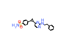 NS(=O)(=O)c1ccc(C2CC2c2ccnc(NCCc3ccccc3)n2)cc1